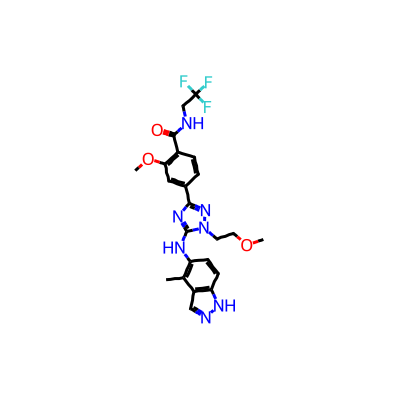 COCCn1nc(-c2ccc(C(=O)NCC(F)(F)F)c(OC)c2)nc1Nc1ccc2[nH]ncc2c1C